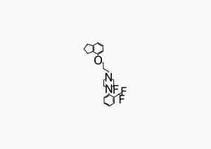 FC(F)(F)c1ccccc1N1CCN(CCCOc2cccc3c2CCC3)CC1